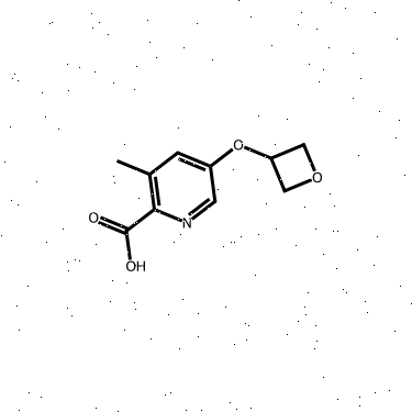 Cc1cc(OC2COC2)cnc1C(=O)O